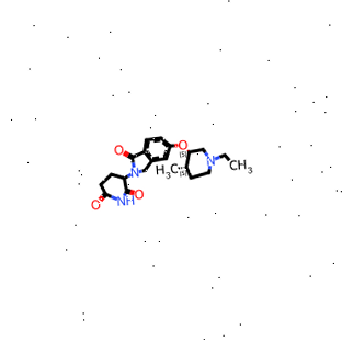 CCN1CC[C@H](C)[C@H](Oc2ccc3c(c2)CN(C2CCC(=O)NC2=O)C3=O)C1